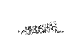 COC(=O)CN(C(=O)N[C@@H]1CC[C@]2(C)C3CC[C@@]4(C)C(CC5O[C@]6(CC[C@H](C)CO6)[C@@H](C)C54)[C@@H]3CC[C@@H]2C1)C1CCCCC1